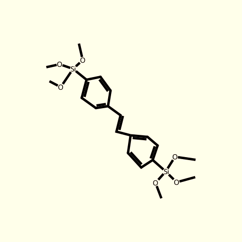 CO[Si](OC)(OC)c1ccc(C=Cc2ccc([Si](OC)(OC)OC)cc2)cc1